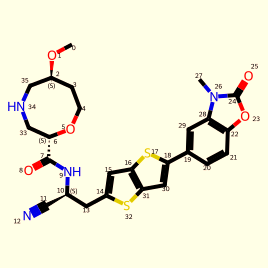 CO[C@H]1CCO[C@H](C(=O)N[C@H](C#N)Cc2cc3sc(-c4ccc5oc(=O)n(C)c5c4)cc3s2)CNC1